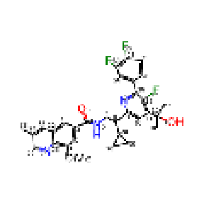 COc1cc(C(=O)NCC(c2cc(C(C)(C)O)c(F)c(-c3ccc(F)c(F)c3)n2)C2CC2)cc2cc(C)cnc12